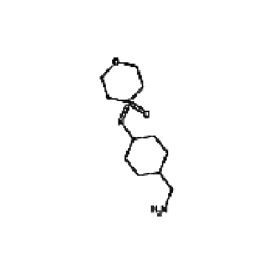 NCC1CCC(N=S2(=O)CCOCC2)CC1